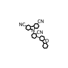 N#Cc1ccc2c(c1)c1cc(C#N)ccc1n2-c1cccc(-c2ccc3oc4ccccc4c3c2)c1C#N